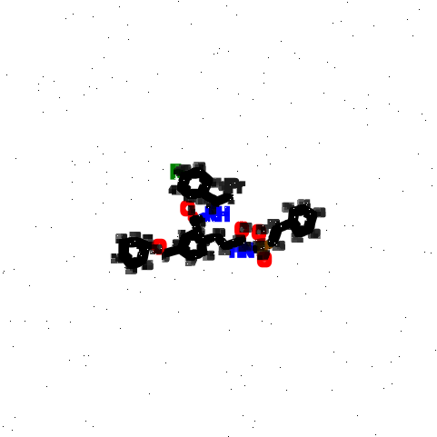 CC(C)CC(NC(=O)c1cc(COc2ccccc2)ccc1CCC(=O)NS(=O)(=O)C=Cc1ccccc1)c1ccc(F)cc1